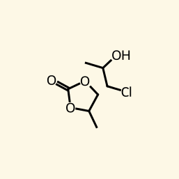 CC(O)CCl.CC1COC(=O)O1